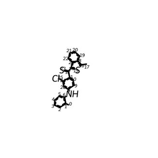 Cc1ccccc1Nc1ccc(C(=S)c2sc(C)c3ccccc23)c(Cl)c1